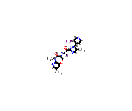 Cc1cnc2c(c1)OCC(=NB(I)C(=O)c1ncc(C)c(-c3ccncc3P)n1)C(=O)N2C